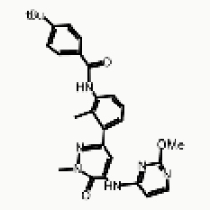 COc1nccc(Nc2cc(-c3cccc(NC(=O)c4ccc(C(C)(C)C)cc4)c3C)nn(C)c2=O)n1